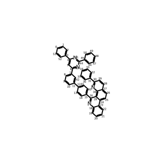 c1ccc(-c2cc(-c3cccc(-c4ccc(-c5nc6ccccc6c6ccc7ccc(-c8ccccc8)nc7c56)cc4)c3)nc(-c3ccccc3)n2)cc1